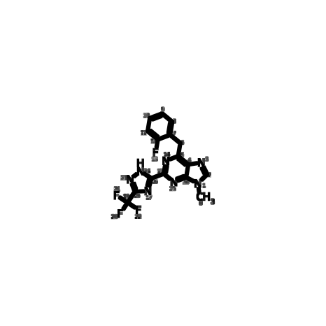 Cn1cnc2c(Cc3ccccc3F)nc(-c3nc(C(F)(F)F)n[nH]3)nc21